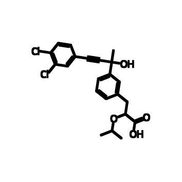 CC(C)OC(Cc1cccc(C(C)(O)C#Cc2ccc(Cl)c(Cl)c2)c1)C(=O)O